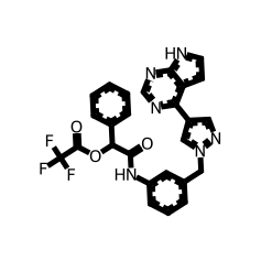 O=C(Nc1cccc(Cn2cc(-c3ncnc4[nH]ccc34)cn2)c1)C(OC(=O)C(F)(F)F)c1ccccc1